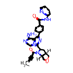 CC#CC(=O)N1C(c2nc(-c3ccc(C(=O)Nc4ccccn4)cc3)c3c(N)nccn23)C[C@H]2COC[C@H]21